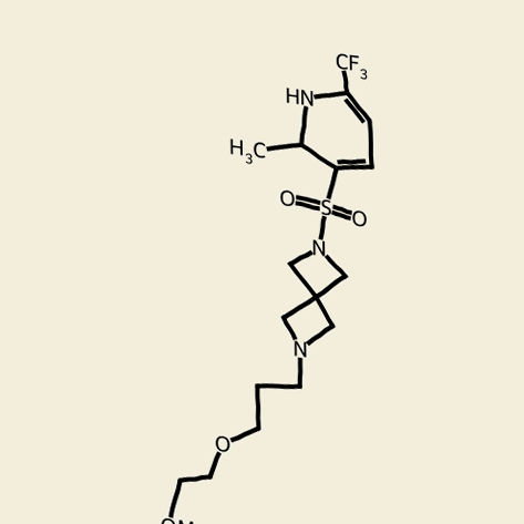 COCCOCCCN1CC2(C1)CN(S(=O)(=O)C1=CC=C(C(F)(F)F)NC1C)C2